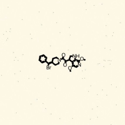 COc1cnc(OC)c2c1C(C(=O)C(=O)N1CCC(=C(Br)c3ccccc3)CC1)CN2